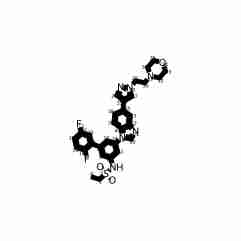 CCS(=O)(=O)Nc1cc(-c2cc(F)ccc2F)cc(-n2cnc3cc(-c4cnn(CCN5CCOCC5)c4)ccc32)c1